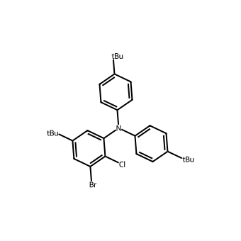 CC(C)(C)c1ccc(N(c2ccc(C(C)(C)C)cc2)c2cc(C(C)(C)C)cc(Br)c2Cl)cc1